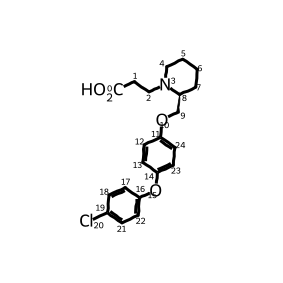 O=C(O)CCN1CCCC[C@H]1COc1ccc(Oc2ccc(Cl)cc2)cc1